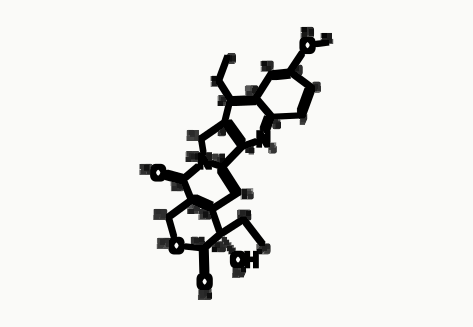 CCc1c2c(nc3ccc(OC)cc13)-c1cc3c(c(=O)n1C2)COC(=O)[C@]3(O)CC